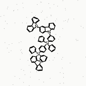 c1ccc([Si](c2ccccc2)(c2ccc([Si](c3ccccc3)(c3ccccc3)c3cccc4c3sc3ccccc34)cc2)c2cccc(-n3c4ccccc4c4cc(-n5c6ccccc6c6ccccc65)ccc43)c2)cc1